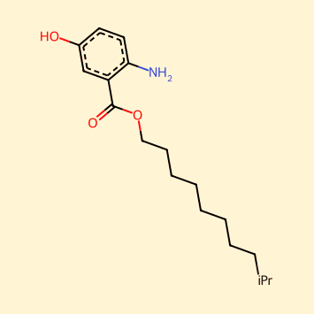 CC(C)CCCCCCCCOC(=O)c1cc(O)ccc1N